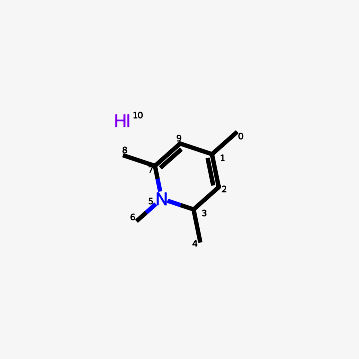 CC1=CC(C)N(C)C(C)=C1.I